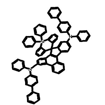 c1ccc(-c2ccc(N(c3ccccc3)c3ccc4c(c3)C3(c5ccccc5[Si](c5ccccc5)(c5ccccc5)c5ccccc53)c3c-4c4ccccc4c4cc(N(c5ccccc5)c5ccc(-c6ccccc6)cc5)ccc34)cc2)cc1